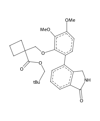 COc1ccc(-c2cccc3c2CNC3=O)c(OCC2(C(=O)OCC(C)(C)C)CCC2)c1OC